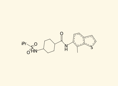 Cc1c(NC(=O)C2CCC(NS(=O)(=O)C(C)C)CC2)ccc2ccsc12